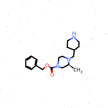 C[C@H]1CN(C(=O)OCc2ccccc2)CCN1CC1CCNCC1